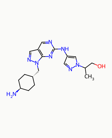 CC(CO)n1cc(Nc2ncc3cnn(C[C@H]4CC[C@H](N)CC4)c3n2)cn1